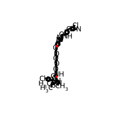 Cc1sc2c(c1C)C(c1ccc(Cl)cc1)=NC(CC(=O)NCCOCCOCCOCCOCCOC1CCN(c3ccc(C(=O)NC4CCC(Oc5ccc(C#N)c(Cl)c5)CC4)nn3)CC1)c1nnc(C)n1-2